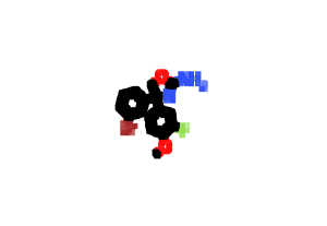 COc1ccc(C2(c3cccc(Br)c3)COC(N)=N2)cc1F